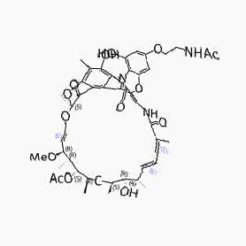 CO[C@H]1/C=C/O[C@@]2(C)Oc3c(C)c(O)c4c(=O)c(c5oc6cc(OCCNC(C)=O)cc(O)c6nc-5c4c3C2=O)NC(=O)/C(C)=C\C=C\[C@H](C)[C@H](O)[C@@H](C)C[C@@H](C)[C@H](OC(C)=O)[C@@H]1C